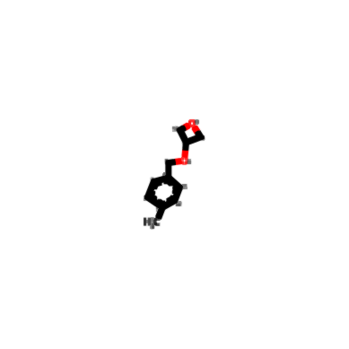 Cc1ccc(COC2COC2)cc1